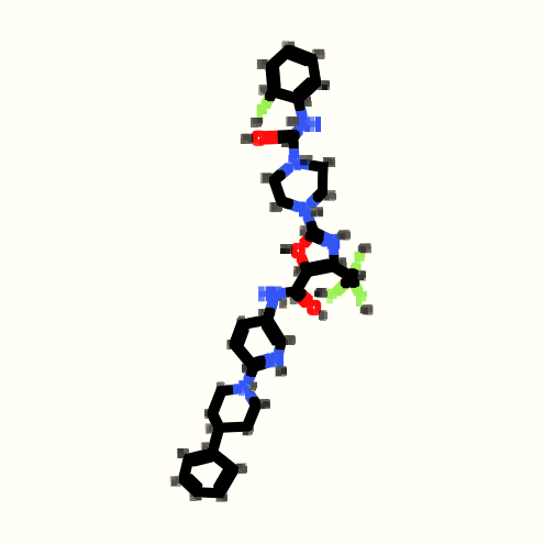 O=C(Nc1ccc(N2CCC(c3ccccc3)CC2)nc1)c1oc(N2CCN(C(=O)Nc3ccccc3F)CC2)nc1C(F)(F)F